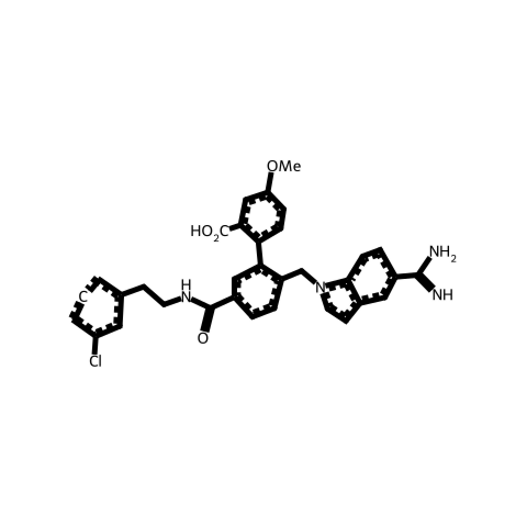 COc1ccc(-c2cc(C(=O)NCCc3cccc(Cl)c3)ccc2Cn2ccc3cc(C(=N)N)ccc32)c(C(=O)O)c1